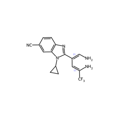 N#Cc1ccc2nc(C(/C=C(\N)C(F)(F)F)=C/N)n(C3CC3)c2c1